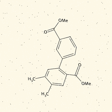 COC(=O)c1cccc(-c2cc(C)c(C)cc2C(=O)OC)c1